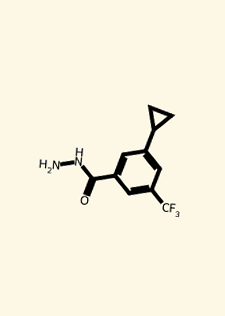 NNC(=O)c1cc(C2CC2)cc(C(F)(F)F)c1